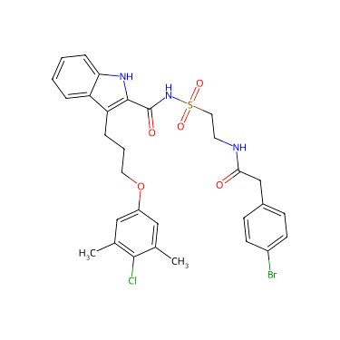 Cc1cc(OCCCc2c(C(=O)NS(=O)(=O)CCNC(=O)Cc3ccc(Br)cc3)[nH]c3ccccc23)cc(C)c1Cl